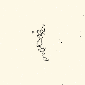 N#Cc1ccc2nc3n(Cc4cccc(-c5ncc(OCC6CCNCC6)cn5)c4)c(=O)c(F)cn3c2c1